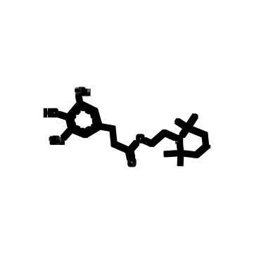 CC(C)(C)c1cc(CCC(=O)OCCN2C(C)(C)C[CH]CC2(C)C)cc(C(C)(C)C)c1O